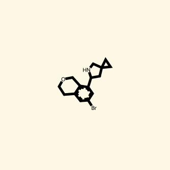 Brc1cc2c(c(C3CC4(CC4)CN3)c1)COCC2